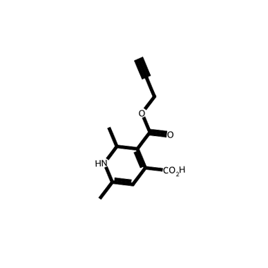 C#CCOC(=O)C1=C(C(=O)O)C=C(C)NC1C